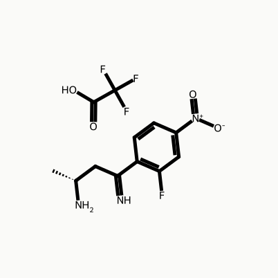 C[C@@H](N)CC(=N)c1ccc([N+](=O)[O-])cc1F.O=C(O)C(F)(F)F